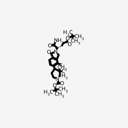 CC(C)(C)OC(=O)CC[C@@H](C(N)=O)N1Cc2c(ccc(C3CCN(C(=O)OC(C)(C)C)CC3(C)C)c2F)C1=O